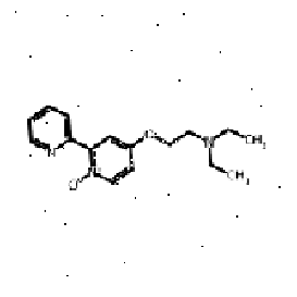 CCN(CC)CCOc1cc[n+]([O-])c(-c2ccccn2)c1